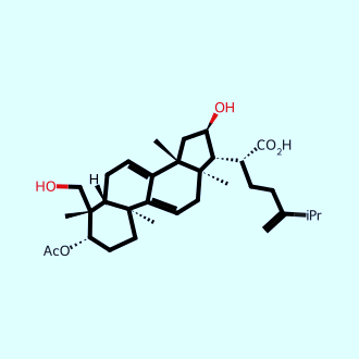 C=C(CC[C@@H](C(=O)O)[C@H]1[C@H](O)C[C@@]2(C)C3=CC[C@H]4[C@@](C)(CO)[C@@H](OC(C)=O)CC[C@]4(C)C3=CC[C@]12C)C(C)C